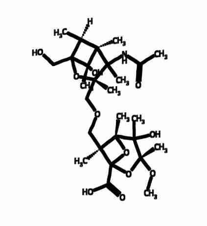 CO[C@]1(C)OC2(C(=O)O)O[C@@](C)(C1(C)O)[C@]2(C)COC[C@]1(C)OC2(CO)[C@@H](C)[C@@](C)(C1(C)NC(C)=O)[C@]2(C)O